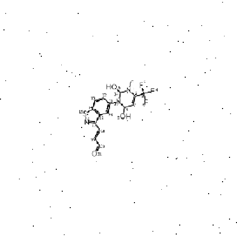 CN1C(C(F)(F)F)=CC(O)N(c2ccc3snc(C=CC=O)c3c2)C1O